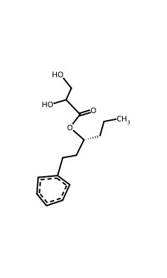 CCC[C@H](CCc1ccccc1)OC(=O)C(O)CO